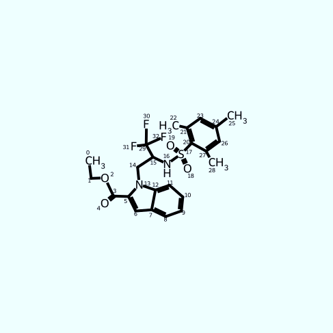 CCOC(=O)c1cc2ccccc2n1CC(NS(=O)(=O)c1c(C)cc(C)cc1C)C(F)(F)F